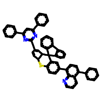 C1=CC2Sc3ccc(-c4ccc(-c5ccccc5)c5cccnc45)cc3C3(c4ccccc4-c4ccccc43)C2C=C1c1nc(-c2ccccc2)cc(-c2ccccc2)n1